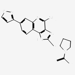 CC(C)C(=O)N1CCC[C@H]1Cc1nc2c(N)nc3cc(-c4cc[nH]n4)ccc3c2[nH]1